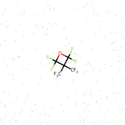 FC(F)(F)C1(C(F)(F)F)C(F)(F)OC1(F)F